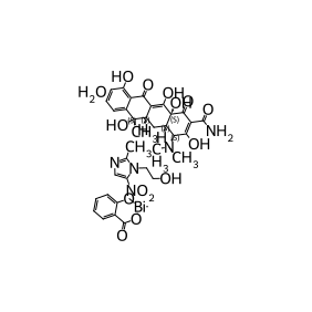 CN(C)[C@@H]1C(O)=C(C(N)=O)C(=O)[C@@]2(O)C(O)=C3C(=O)c4c(O)cccc4[C@@](C)(O)[C@H]3C[C@@H]12.Cc1ncc([N+](=O)[O-])n1CCO.O.O=C1[O][Bi][O]c2ccccc21